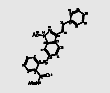 CNC(=O)c1ccccc1Sc1ccc2c(/C=C/c3ccccn3)nn(C(C)=O)c2c1